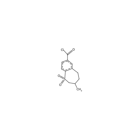 CC1CCc2cc(C(=O)Cl)ccc2S(=O)(=O)C1